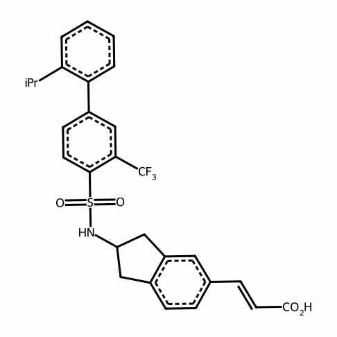 CC(C)c1ccccc1-c1ccc(S(=O)(=O)NC2Cc3ccc(C=CC(=O)O)cc3C2)c(C(F)(F)F)c1